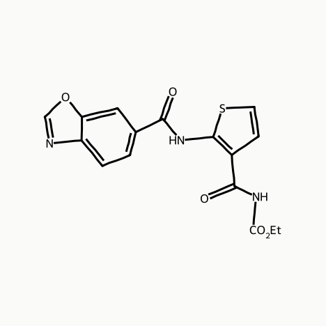 CCOC(=O)NC(=O)c1ccsc1NC(=O)c1ccc2ncoc2c1